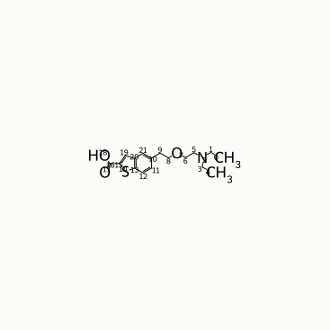 CCN(CC)CCOCCc1ccc2sc(C(=O)O)cc2c1